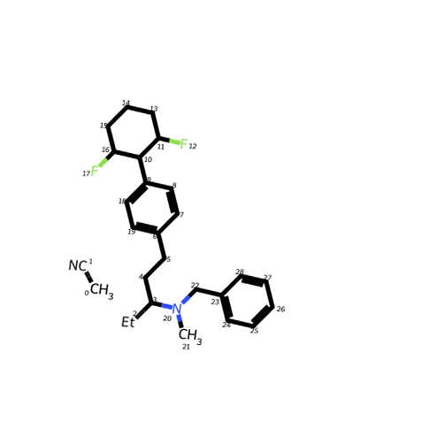 CC#N.CCC(CCc1ccc(C2C(F)CCCC2F)cc1)N(C)Cc1ccccc1